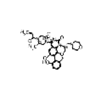 C=CC(=O)N1C[C@H](C)N(c2nc(=O)n3c4c(c(-c5c(O)cccc5F)c(Cl)cc24)OC[C@H]3CN2CCOCC2)C[C@H]1C